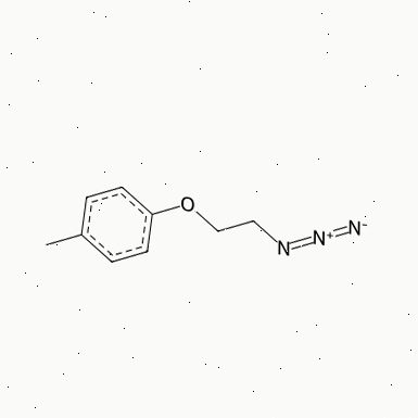 Cc1ccc(OCCN=[N+]=[N-])cc1